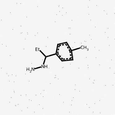 CCC(NN)c1ccc(C)cc1